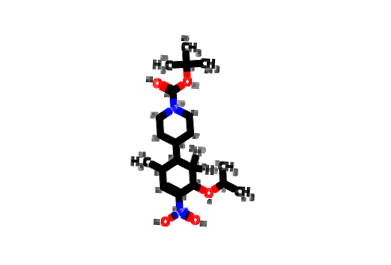 [2H]C1([2H])C(OC(C)C)C([N+](=O)[O-])=CC(C)C1C1CCN(C(=O)OC(C)(C)C)CC1